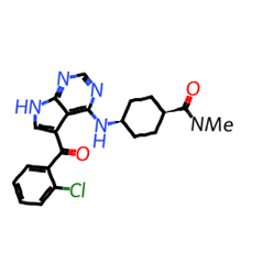 CNC(=O)[C@H]1CC[C@@H](Nc2ncnc3[nH]cc(C(=O)c4ccccc4Cl)c23)CC1